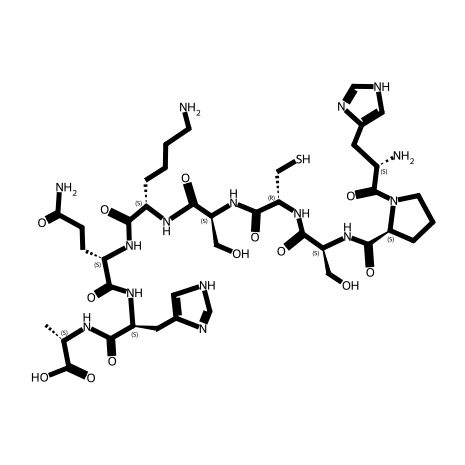 C[C@H](NC(=O)[C@H](Cc1c[nH]cn1)NC(=O)[C@H](CCC(N)=O)NC(=O)[C@H](CCCCN)NC(=O)[C@H](CO)NC(=O)[C@H](CS)NC(=O)[C@H](CO)NC(=O)[C@@H]1CCCN1C(=O)[C@@H](N)Cc1c[nH]cn1)C(=O)O